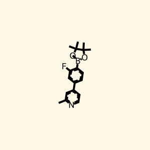 Cc1cc(-c2ccc(B3OC(C)(C)C(C)(C)O3)c(F)c2)ccn1